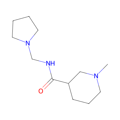 CN1CCCC(C(=O)NCN2CCCC2)C1